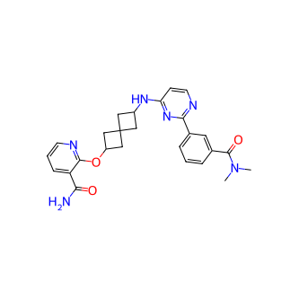 CN(C)C(=O)c1cccc(-c2nccc(NC3CC4(C3)CC(Oc3ncccc3C(N)=O)C4)n2)c1